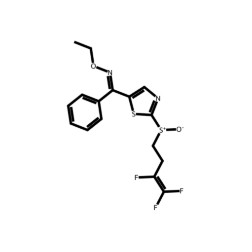 CCO/N=C(\c1ccccc1)c1cnc([S+]([O-])CCC(F)=C(F)F)s1